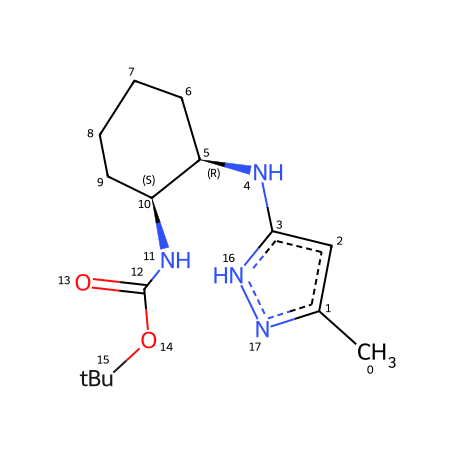 Cc1cc(N[C@@H]2CCCC[C@@H]2NC(=O)OC(C)(C)C)[nH]n1